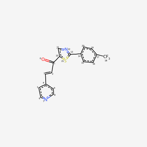 O=C(C=Cc1ccncc1)c1[c]nc(-c2ccc(C(F)(F)F)cc2)s1